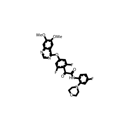 COc1cc2ncnc(Oc3cc(F)c(C(=O)C(=O)Nc4ccc(F)cc4N4CCOCC4)c(F)c3)c2cc1OC